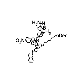 CCCCCCCCCCCCCCCCCCOC[C@H](COP(=O)(OC[C@@H]1CC[C@](C)(c2ccc3c(N)ncnn23)O1)Oc1ccc([N+](=O)[O-])cc1)OCc1ccc2ccccc2c1